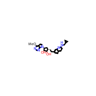 COc1ncnc2c1ccn2[C@@H]1C[C@H](CCc2ccc3ccc(NCC4CC4)nc3c2)[C@@H](O)[C@H]1O